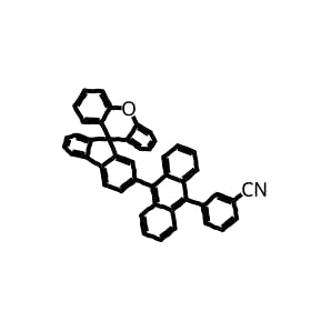 N#Cc1cccc(-c2c3ccccc3c(-c3ccc4c(c3)C3(c5ccccc5Oc5ccccc53)c3ccccc3-4)c3ccccc23)c1